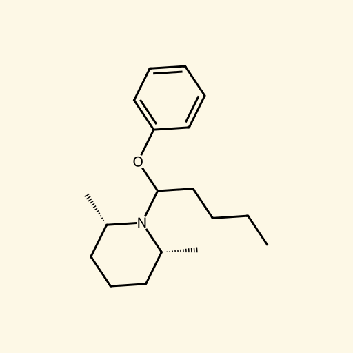 CCCCC(Oc1ccccc1)N1[C@H](C)CCC[C@@H]1C